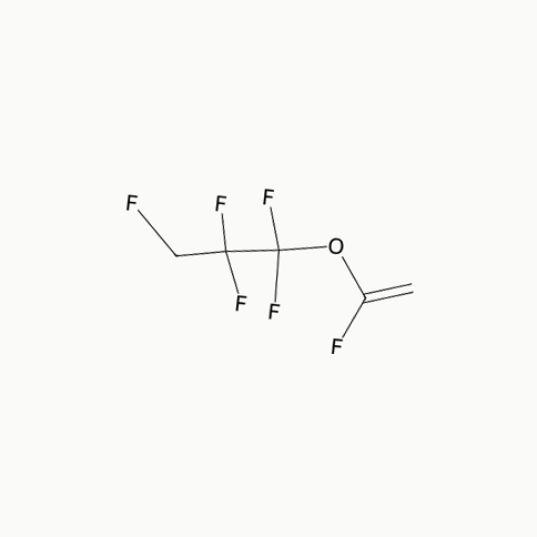 C=C(F)OC(F)(F)C(F)(F)CF